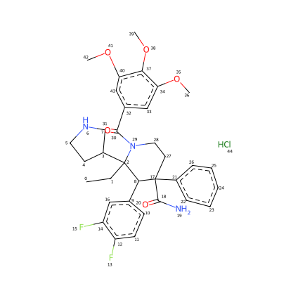 CCC1(C2CCNC2)C(c2ccc(F)c(F)c2)C(C(N)=O)(c2ccccc2)CCN1C(=O)c1cc(OC)c(OC)c(OC)c1.Cl